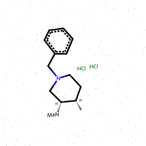 CN[C@@H]1CN(Cc2ccccc2)CC[C@@H]1C.Cl.Cl